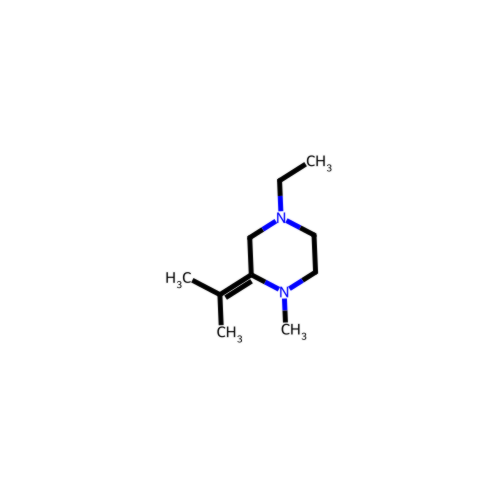 CCN1CCN(C)C(=C(C)C)C1